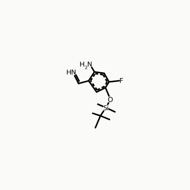 CC(C)(C)[Si](C)(C)Oc1cc(C=N)c(N)cc1F